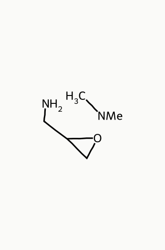 CNC.NCC1CO1